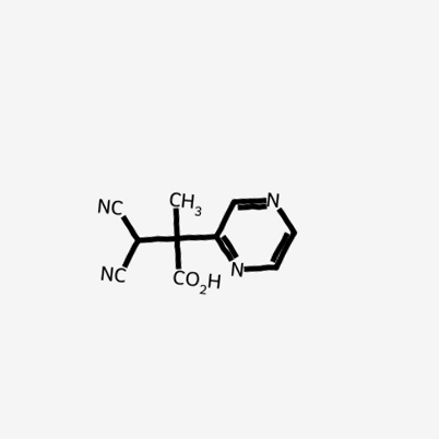 CC(C(=O)O)(c1cnccn1)C(C#N)C#N